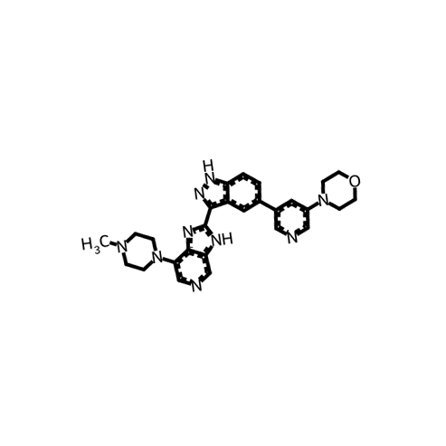 CN1CCN(c2cncc3[nH]c(-c4n[nH]c5ccc(-c6cncc(N7CCOCC7)c6)cc45)nc23)CC1